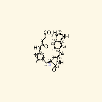 O=C(O)CCC(=O)Nc1ncc(/C=C2\SC(=Nc3ccc4cc[nH]c4c3)NC2=O)s1